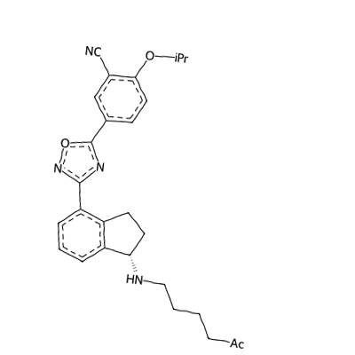 CC(=O)CCCCN[C@H]1CCc2c(-c3noc(-c4ccc(OC(C)C)c(C#N)c4)n3)cccc21